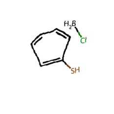 BCl.Sc1ccccc1